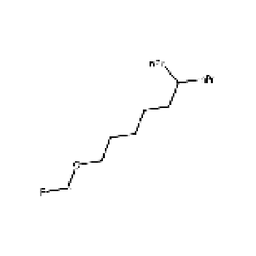 CCCC(CCC)CCCCCO[CH]F